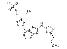 CCS(=O)(=O)N1CC(CC#N)(n2cc(-c3cccc4nc(Nc5cnn(CCOC)c5)nn34)cn2)C1